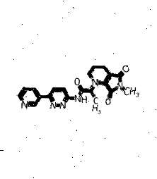 CC(C(=O)Nc1ccc(-c2cccnc2)nn1)N1CCCC2=C1C(=O)N(C)C2=O